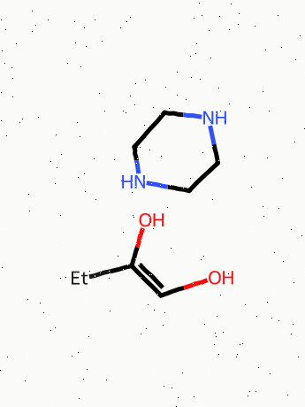 C1CNCCN1.CCC(O)=CO